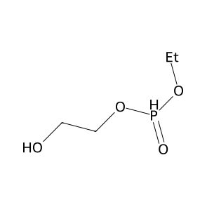 CCO[PH](=O)OCCO